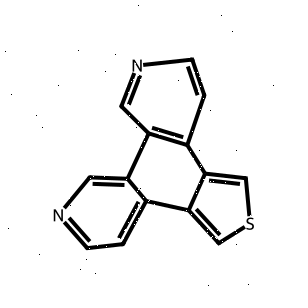 c1cc2c(cn1)c1cnccc1c1cscc21